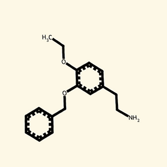 CCOc1ccc(CCN)cc1OCc1ccccc1